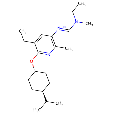 CCc1cc(/N=C/N(C)CC)c(C)nc1O[C@H]1CC[C@H](C(C)C)CC1